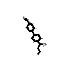 CCCC(O)c1ccc(-c2ccc(C#N)cc2)cc1